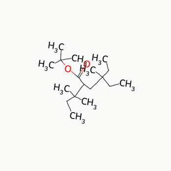 CCC(C)(CC)CC(C(=O)OC(C)(C)C)C(C)(C)CC